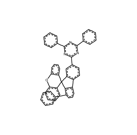 c1ccc(-c2nc(-c3ccccc3)nc(-c3ccc4c(c3)C3(c5ccccc5Oc5ccccc53)c3c(-c5ccccc5)cccc3-4)n2)cc1